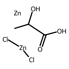 CC(O)C(=O)O.[Cl][Zn][Cl].[Zn]